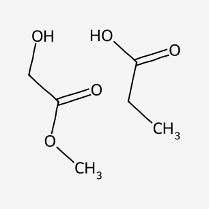 CCC(=O)O.COC(=O)CO